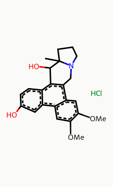 COc1cc2c3c(c4ccc(O)cc4c2cc1OC)C(O)C1(C)CCCN1C3.Cl